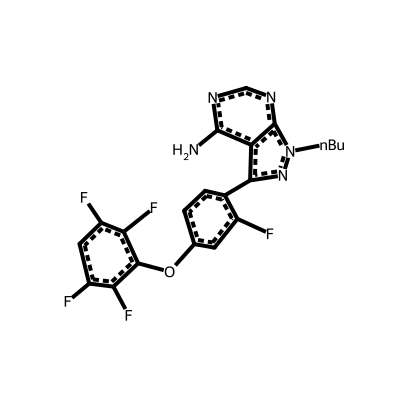 CCCCn1nc(-c2ccc(Oc3c(F)c(F)cc(F)c3F)cc2F)c2c(N)ncnc21